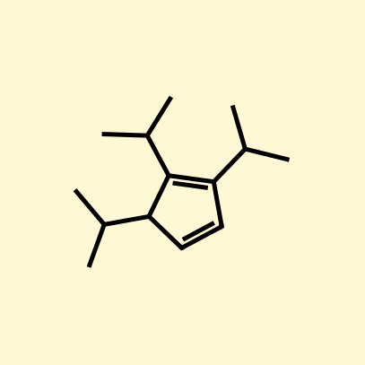 CC(C)C1=C(C(C)C)C(C(C)C)C=C1